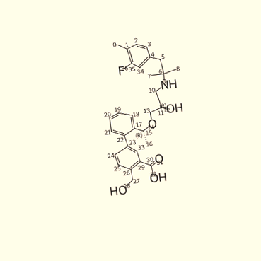 Cc1ccc(CC(C)(C)NC[C@@H](O)CO[C@H](C)c2ccccc2-c2ccc(CO)c(C(=O)O)c2)cc1F